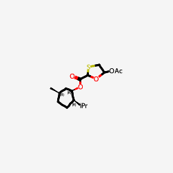 CC(=O)OC1CSC(C(=O)O[C@@H]2C[C@H](C)CC[C@@H]2C(C)C)O1